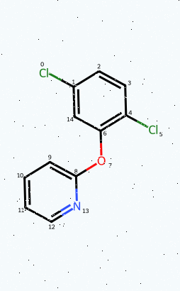 Clc1ccc(Cl)c(Oc2cc[c]cn2)c1